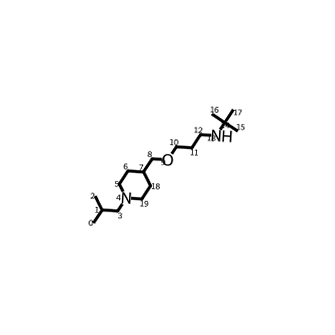 CC(C)CN1CCC(COCCCNC(C)(C)C)CC1